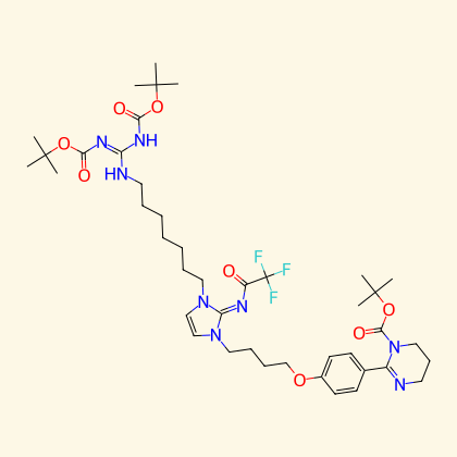 CC(C)(C)OC(=O)/N=C(\NCCCCCCCn1ccn(CCCCOc2ccc(C3=NCCCN3C(=O)OC(C)(C)C)cc2)/c1=N/C(=O)C(F)(F)F)NC(=O)OC(C)(C)C